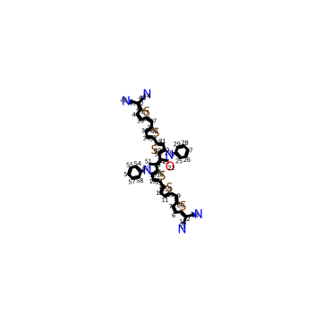 N#CC(C#N)=c1cc/c(=C\c2ccc(-c3cc4c(s3)/C(=C3\C(=O)N(c5ccccc5)c5cc(-c6ccc(/C=c7\ccc(=C(C#N)C#N)s7)s6)sc53)CN4c3ccccc3)s2)s1